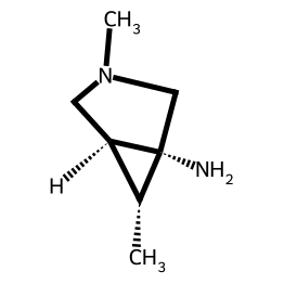 C[C@@H]1[C@H]2CN(C)C[C@@]12N